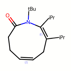 CC(C)/C1=C(\C(C)C)N(C(C)(C)C)C(=O)CC/C=C\C1